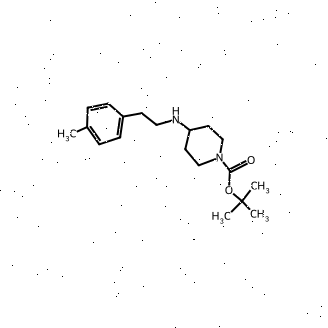 Cc1ccc(CCNC2CCN(C(=O)OC(C)(C)C)CC2)cc1